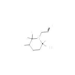 C=CCN1C(C)(C)CCC(O)C1(C)C